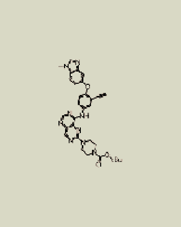 C#Cc1cc(Nc2ncnc3cnc(N4CCN(C(=O)OC(C)(C)C)CC4)nc23)ccc1Oc1ccc2c(c1)ncn2C